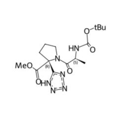 COC(=O)[C@]1(c2nnn[nH]2)CCCN1C(=O)[C@H](C)NC(=O)OC(C)(C)C